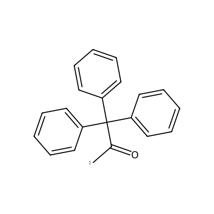 [CH]C(=O)C(c1ccccc1)(c1ccccc1)c1ccccc1